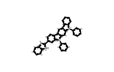 c1ccc(-n2c3ccccc3c3cc4c5ccc(-c6nc7ccccc7[nH]6)cc5n(-c5ccccc5)c4cc32)cc1